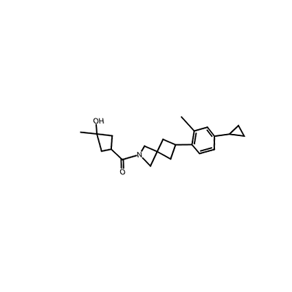 Cc1cc(C2CC2)ccc1C1CC2(C1)CN(C(=O)C1CC(C)(O)C1)C2